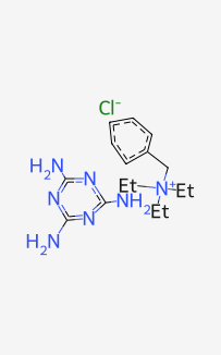 CC[N+](CC)(CC)Cc1ccccc1.Nc1nc(N)nc(N)n1.[Cl-]